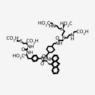 O=C(O)CNCCN(CCN(CCNCC(=O)O)CC(=O)NCC1CCC(C(=O)N[C@@H](Cc2c3ccccc3cc3ccccc23)C(=O)Nc2ccc(C[C@H](NC(=O)N[C@@H](CSCC(=O)O)C(=O)O)C(=O)O)cc2)CC1)CC(=O)O